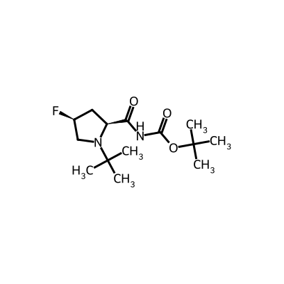 CC(C)(C)OC(=O)NC(=O)[C@@H]1C[C@H](F)CN1C(C)(C)C